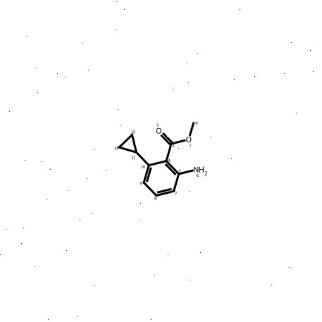 COC(=O)c1c(N)cccc1C1CC1